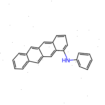 c1ccc(Nc2cccc3cc4cc5ccccc5cc4cc23)cc1